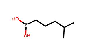 CC(C)CCCB(O)O